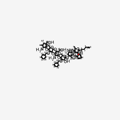 C#CCCCO[C@@H]1OC(C)[C@@H](O[C@@H]2OC(CO)[C@@H](O[C@@H]3OC(C)[C@H](O[C@@H]4OC(CO)[C@@H](O[C@@H]5OC(C)[C@@H](O[C@@H]6OC(CO)[C@@H](C)[C@H](C)C6N)[C@@H](OCc6ccccc6)C5O)CC4N)[C@@H](OCc4ccccc4)C3O)[C@H](C)C2N)[C@@H](OCc2ccccc2)C1O